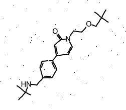 CC(C)(C)COCCn1ccc(-c2ccc(CNC(C)(C)C)cc2)cc1=O